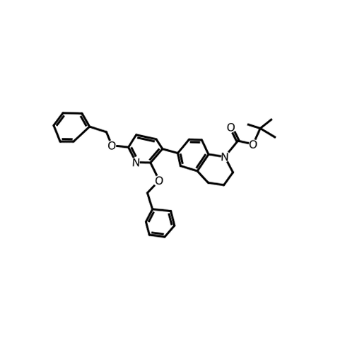 CC(C)(C)OC(=O)N1CCCc2cc(-c3ccc(OCc4ccccc4)nc3OCc3ccccc3)ccc21